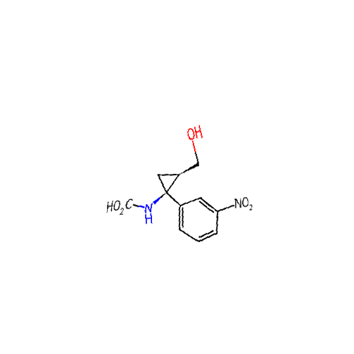 O=C(O)N[C@@]1(c2cccc([N+](=O)[O-])c2)C[C@H]1CO